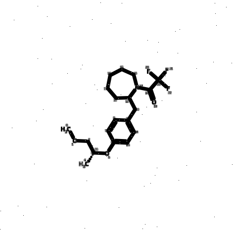 COC[C@@H](C)Oc1ccc(CC2CCCCCN2C(=O)C(F)(F)F)cc1